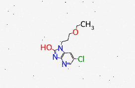 CCOCCCn1c(O)nc2ncc(Cl)cc21